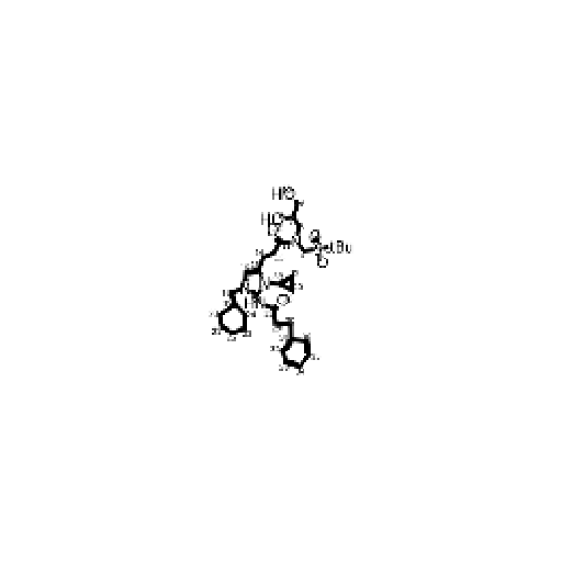 CC(C)(C)S(=O)(=O)CN(CC(O)CO)C(=O)CCC1=CN(CC2CCCCC2)[C@@H](NC(=O)CCc2ccccc2)N1C1CC1